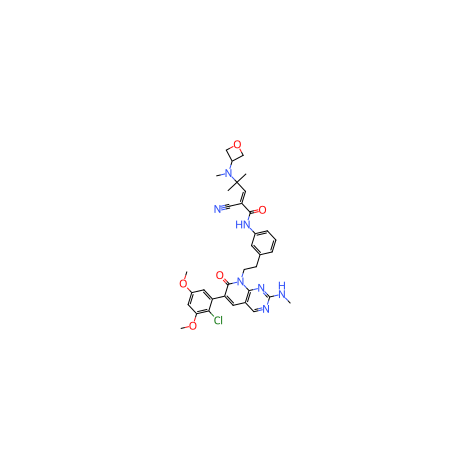 CNc1ncc2cc(-c3cc(OC)cc(OC)c3Cl)c(=O)n(CCc3cccc(NC(=O)C(C#N)=CC(C)(C)N(C)C4COC4)c3)c2n1